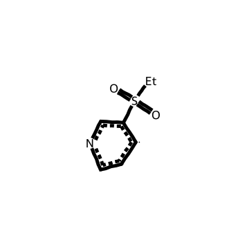 CCS(=O)(=O)c1[c]ccnc1